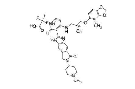 Cc1c(OC[C@H](O)CNc2cc[nH]c(=O)c2-c2nc3cc4c(cc3[nH]2)CN(C2CCN(C)CC2)C4=O)ccc2c1OCO2.O=C(O)C(F)(F)F